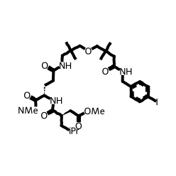 CNC(=O)[C@H](CCC(=O)NCC(C)(C)COCC(C)(C)CC(=O)NCc1ccc(I)cc1)NC(=O)[C@@H](CC(=O)OC)CC(C)C